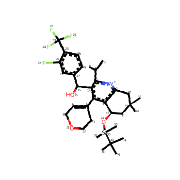 CC(C)c1nc2c(c(C3=CCOCC3)c1C(O)c1ccc(C(F)(F)F)c(F)c1)[C@H](O[Si](C)(C)C(C)(C)C)CC(C)(C)C2